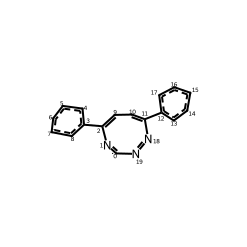 [C]1=NC(c2ccccc2)=CC=C(c2ccccc2)N=N1